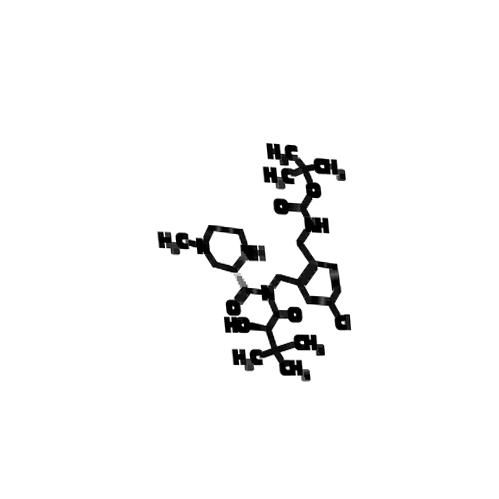 CN1CCN[C@H](C(=O)N(Cc2cc(Cl)ccc2CNC(=O)OC(C)(C)C)C(=O)[C@H](O)C(C)(C)C)C1